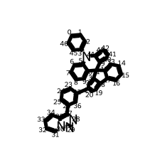 c1ccc(N2c3ccccc3C3(c4ccccc4-c4ccc(-c5cccc(-c6nnn7ccccc67)c5)cc43)c3ccccc32)cc1